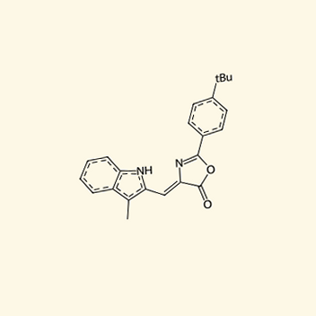 Cc1c(/C=C2\N=C(c3ccc(C(C)(C)C)cc3)OC2=O)[nH]c2ccccc12